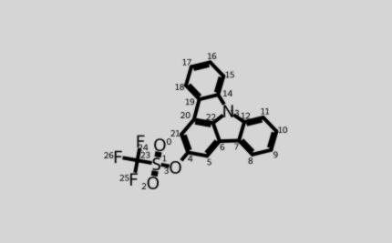 O=S(=O)(Oc1cc2c3ccccc3n3c4ccccc4c(c1)c23)C(F)(F)F